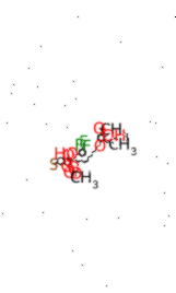 CCCc1c(OCCCCC/C=C\C=C\[C@@H](c2c(OC(=O)OC)oc3c(c2=O)=CCC(=S)C=3)[C@@H](O)c2cccc(C(F)(F)F)c2)ccc(C(C)=O)c1O